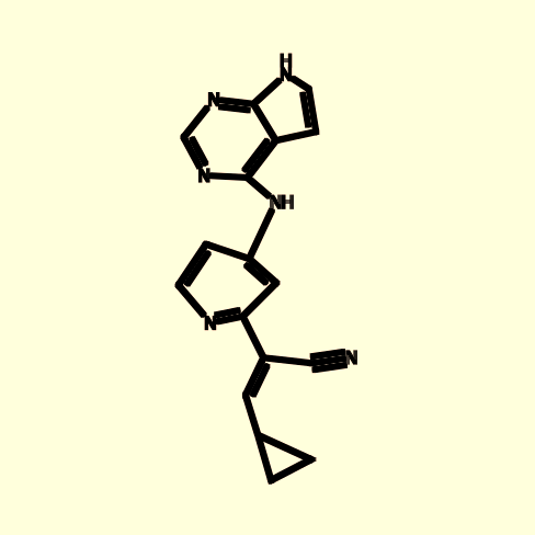 N#CC(=CC1CC1)c1cc(Nc2ncnc3[nH]ccc23)ccn1